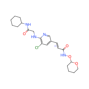 O=C(/C=C/c1cnc(NCC(=O)NC2CCCCC2)c(Cl)c1)NOC1CCCCO1